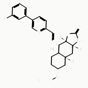 CCOC(=O)N[C@@H]1CC[C@@H]2[C@@H](C1)C[C@H]1NC(=O)O[C@H]1[C@H]2/C=C/c1ccc(-c2cccc(F)c2)cn1